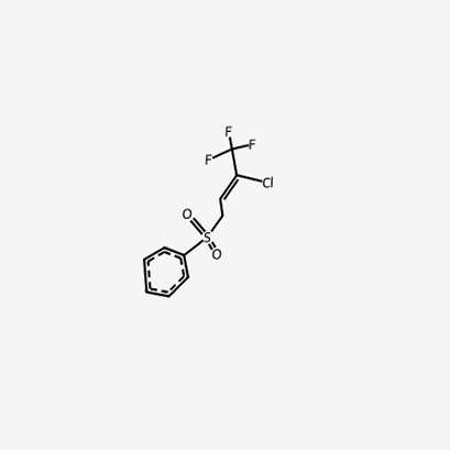 O=S(=O)(CC=C(Cl)C(F)(F)F)c1ccccc1